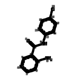 Nc1ccncc1C(=O)Nc1ccc(Cl)cn1